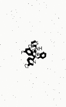 O=C(Nc1nccs1)N[C@](Cc1ccccc1)(c1cc(F)cc(C(F)(F)F)c1)c1ccc(Cl)cn1